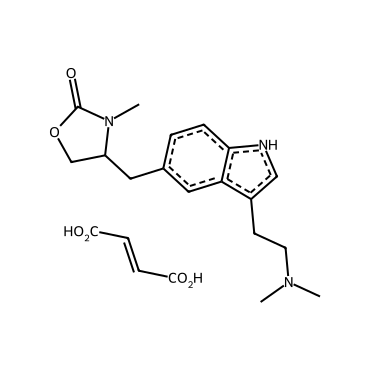 CN(C)CCc1c[nH]c2ccc(CC3COC(=O)N3C)cc12.O=C(O)C=CC(=O)O